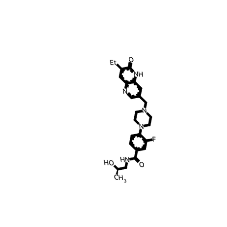 CCc1cc2ncc(CN3CCN(c4ccc(C(=O)NC[C@@H](C)O)cc4F)CC3)cc2[nH]c1=O